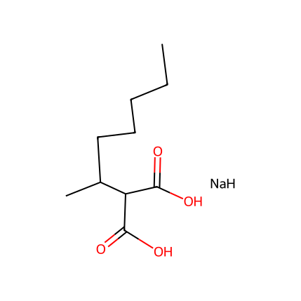 CCCCCC(C)C(C(=O)O)C(=O)O.[NaH]